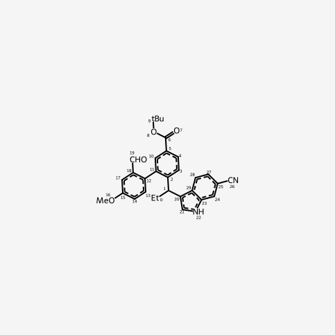 CCC(c1ccc(C(=O)OC(C)(C)C)cc1-c1ccc(OC)cc1C=O)c1c[nH]c2cc(C#N)ccc12